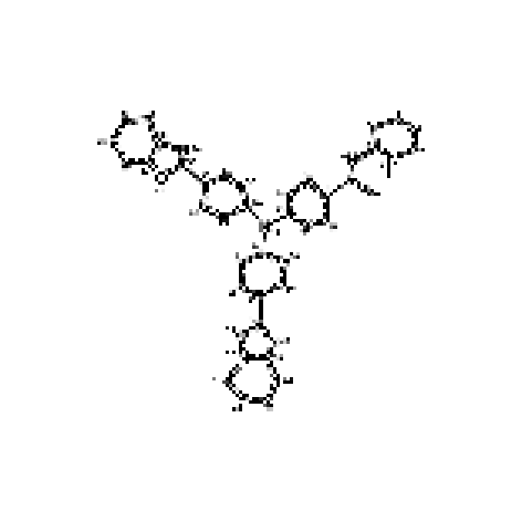 C=C(/N=c1/cccc[nH]1)c1ccc(N(c2ccc(-c3cn4ccccc4n3)cc2)c2ccc(-c3nc4ccccc4o3)cc2)cc1